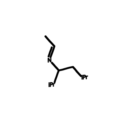 C/C=N/C(CC(C)C)C(C)C